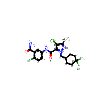 NC(=O)c1cc(NC(=O)c2c(Cl)c(C(F)(F)F)nn2CC2CCC(F)(F)CC2)ccc1F